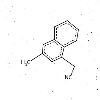 Cc1cc(CC#N)c2ccccc2c1